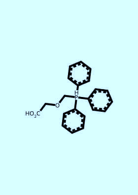 O=C(O)COC[PH](c1ccccc1)(c1ccccc1)c1ccccc1